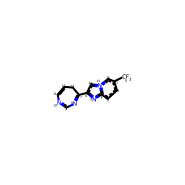 FC(F)(F)c1ccc2nc(C3=NC=NC=CC3)cn2c1